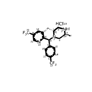 C[C@@H]1CN[C@@H](C)CN1C(c1ccc(C(F)(F)F)cc1)c1ccc(C(F)(F)F)cn1.Cl